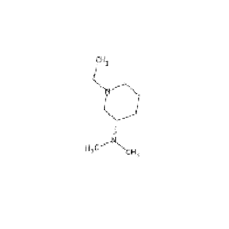 CCN1CCC[C@H](N(C)C)C1